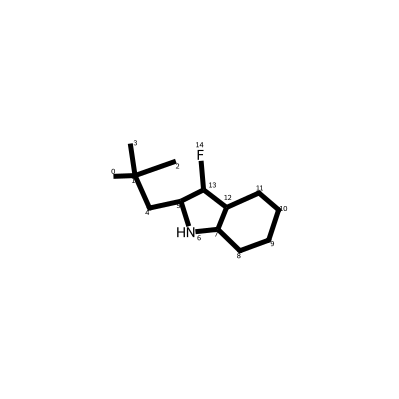 CC(C)(C)CC1NC2CCCCC2C1F